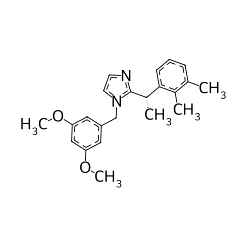 COc1cc(Cn2ccnc2[C@@H](C)c2cccc(C)c2C)cc(OC)c1